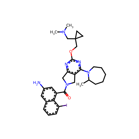 CC1CCCCCN1c1nc(OCC2(CN(C)C)CC2)nc2c1CN(C(=O)c1cc(N)cc3cccc(I)c13)C2